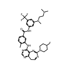 Cc1ccc(C(=O)Nc2cc(N(C)CCN(C)C)cc(C(F)(F)F)c2)cc1Nc1ncnc2c1N=C(N1CCC(F)CC1)N=CC2